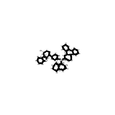 C[C@@H]1CC=C(c2ccc(N(C3=CC=C4c5ccccc5-c5ccccc5C4C3)c3cccc4ccccc34)cc2)c2oc3ccccc3c21